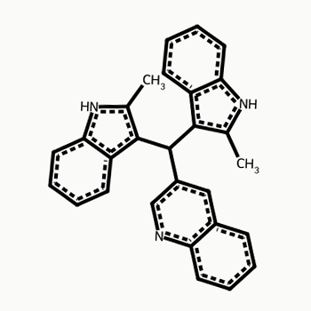 Cc1[nH]c2ccccc2c1C(c1cnc2ccccc2c1)c1c(C)[nH]c2ccccc12